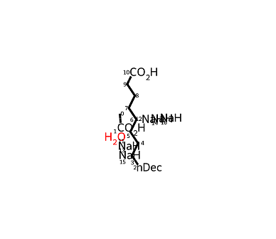 CC(=O)O.CCCCCCCCCCCCCCCCCC(=O)O.O.[NaH].[NaH].[NaH].[NaH].[NaH]